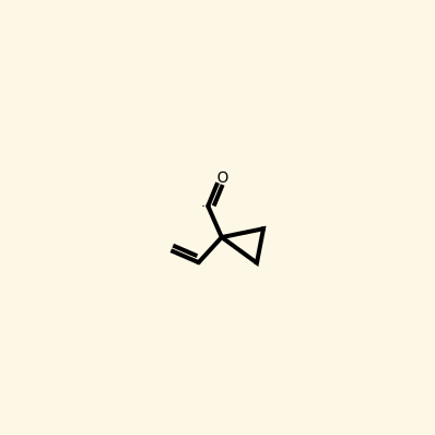 C=CC1([C]=O)CC1